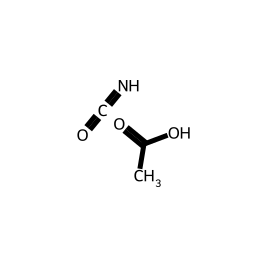 CC(=O)O.N=C=O